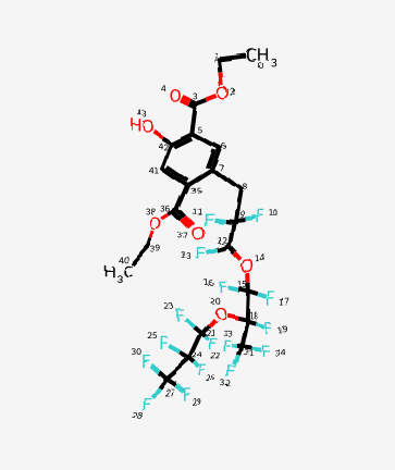 CCOC(=O)c1cc(CC(F)(F)C(F)OC(F)(F)C(F)(OC(F)(F)C(F)(F)C(F)(F)F)C(F)(F)F)c(C(=O)OCC)cc1O